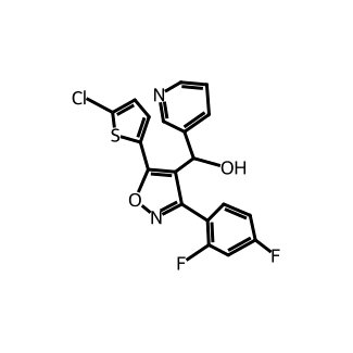 OC(c1cccnc1)c1c(-c2ccc(F)cc2F)noc1-c1ccc(Cl)s1